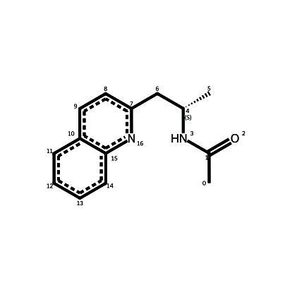 CC(=O)N[C@@H](C)Cc1ccc2ccccc2n1